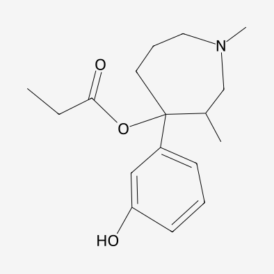 CCC(=O)OC1(c2cccc(O)c2)CCCN(C)CC1C